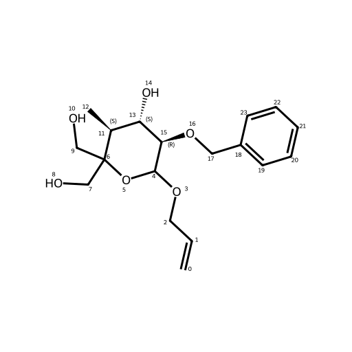 C=CCOC1OC(CO)(CO)[C@@H](C)[C@H](O)[C@H]1OCc1ccccc1